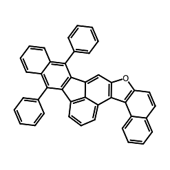 c1ccc(-c2c3c(c(-c4ccccc4)c4ccccc24)-c2cc4oc5ccc6ccccc6c5c4c4cccc-3c24)cc1